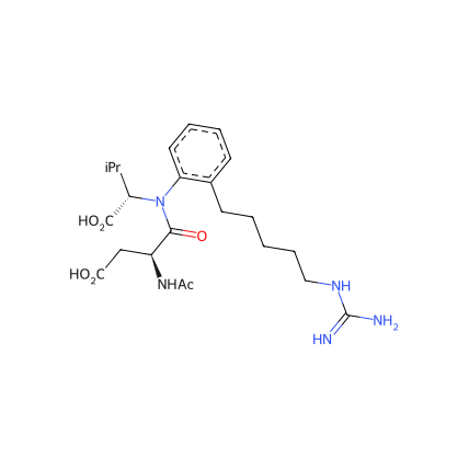 CC(=O)N[C@@H](CC(=O)O)C(=O)N(c1ccccc1CCCCCNC(=N)N)[C@H](C(=O)O)C(C)C